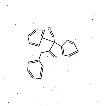 O=[C]C(C(=O)Cc1ccccc1)(c1ccccc1)c1ccccc1